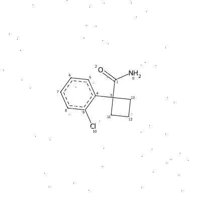 NC(=O)C1(c2ccccc2Cl)CCC1